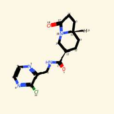 O=C(NCc1nccnc1Cl)[C@@H]1CC[C@H]2CCC(=O)N2C1